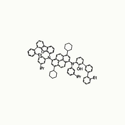 CCc1ccccc1-c1cccc(-c2cccc(N(c3cccc(C(C)C)c3)c3cc(C4CCCCC4)c4ccc5c(N(c6cccc(C(C)C)c6)c6cccc7c6oc6c(-c8ccccc8CC)cccc67)cc(C6CCCCC6)c6ccc3c4c65)c2O)c1